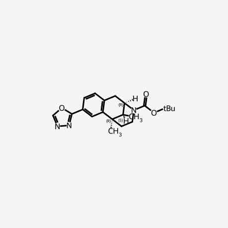 C[C@@H]1[C@H]2Cc3ccc(-c4nnco4)cc3[C@]1(C)CCN2C(=O)OC(C)(C)C